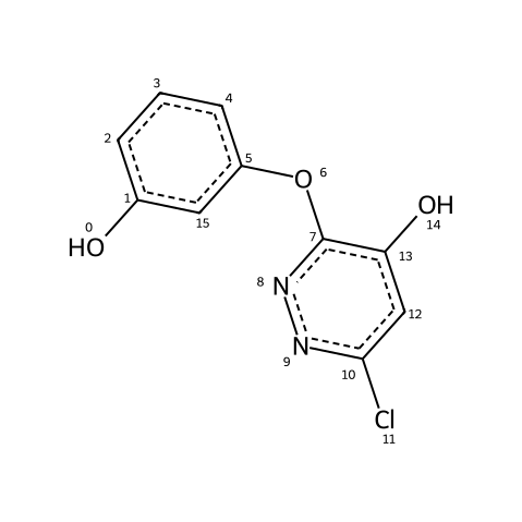 Oc1cccc(Oc2nnc(Cl)cc2O)c1